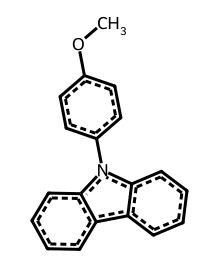 COc1ccc(-n2c3ccccc3c3ccccc32)cc1